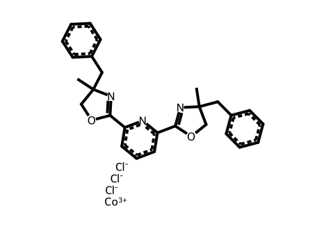 CC1(Cc2ccccc2)COC(c2cccc(C3=NC(C)(Cc4ccccc4)CO3)n2)=N1.[Cl-].[Cl-].[Cl-].[Co+3]